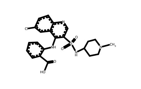 CN1CCC(NS(=O)(=O)c2cnc3ccc(Cl)cc3c2Nc2ccccc2C(=O)O)CC1